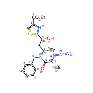 CCOC(=O)c1csc([C@H](O)C[C@H](C(C)C)N(Cc2ccccc2)C(=O)[C@@H](N=[N+]=[N-])[C@@H](C)CC)n1